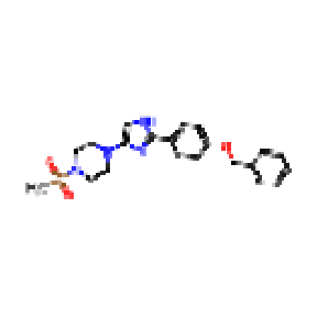 CS(=O)(=O)N1CCN(c2c[nH]c(-c3ccc(OCc4ccccc4)cc3)n2)CC1